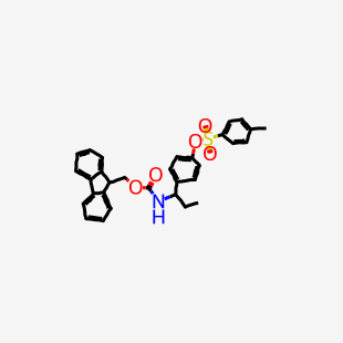 CCC(NC(=O)OCC1c2ccccc2-c2ccccc21)c1ccc(OS(=O)(=O)c2ccc(C)cc2)cc1